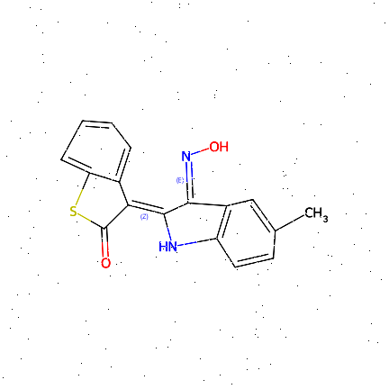 Cc1ccc2c(c1)C(=N\O)/C(=C1/C(=O)Sc3ccccc31)N2